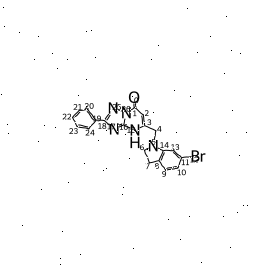 O=c1cc(CN2CCc3ccc(Br)cc32)[nH]c2nc(-c3ccccc3)nn12